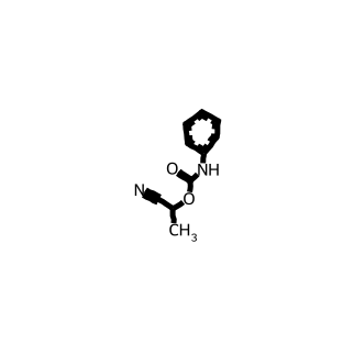 CC(C#N)OC(=O)Nc1ccccc1